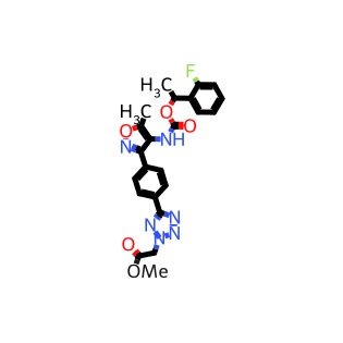 COC(=O)Cn1nnc(-c2ccc(-c3noc(C)c3NC(=O)OC(C)c3ccccc3F)cc2)n1